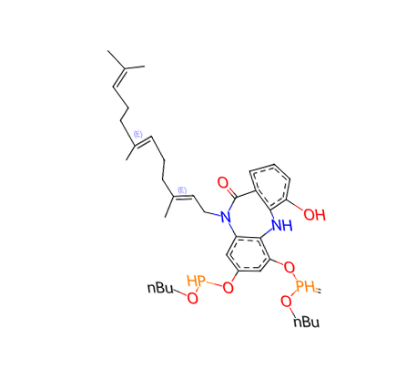 C=[PH](OCCCC)Oc1cc(OPOCCCC)cc2c1Nc1c(O)cccc1C(=O)N2C/C=C(\C)CC/C=C(\C)CCC=C(C)C